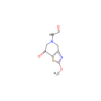 COc1nc2c(s1)C(=O)CN(BC=O)C2